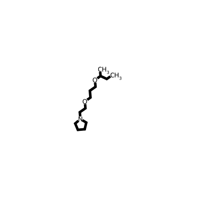 CCC(C)OCCCOCCN1CCCC1